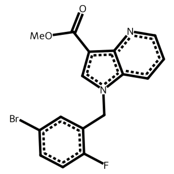 COC(=O)c1cn(Cc2cc(Br)ccc2F)c2cccnc12